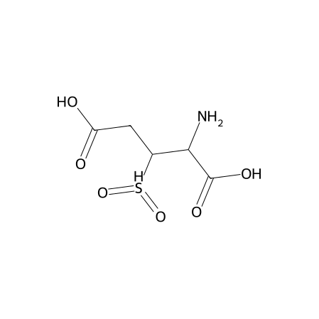 NC(C(=O)O)C(CC(=O)O)[SH](=O)=O